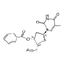 CC(=O)OC[C@H]1S[C@H](n2cc(C)c(=O)[nH]c2=O)C[C@H]1OC(=O)c1ccccc1